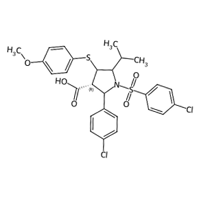 COc1ccc(SC2C(C(C)C)N(S(=O)(=O)c3ccc(Cl)cc3)C(c3ccc(Cl)cc3)[C@@H]2C(=O)O)cc1